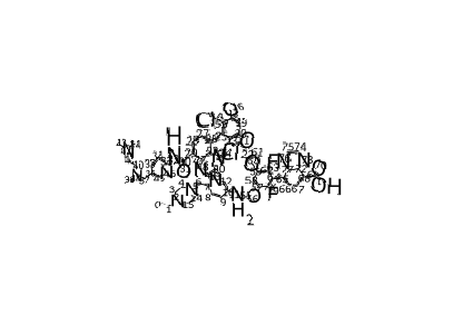 CCN1CCN(Cc2ccc(N)cn2)CC1.COc1cc(OC)c(Cl)c(-c2ccc(C(=O)Nc3ccc(CN(C)CCN(C)C)cn3)c3nccnc23)c1Cl.COc1cc(OC)c(F)c(-c2ccc(C(=O)O)c3nccnc23)c1F